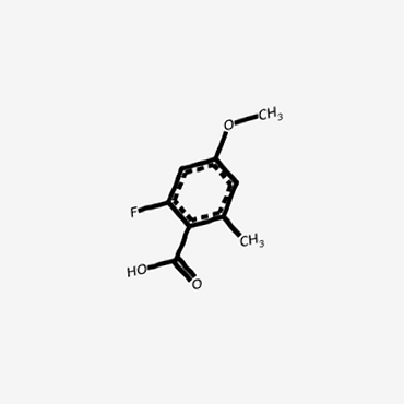 COc1cc(C)c(C(=O)O)c(F)c1